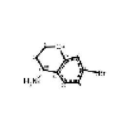 N[C@@H]1CCOc2cc(Br)ccc21